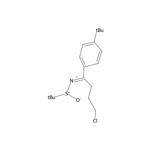 CC(C)(C)c1ccc(/C(CCCCl)=N/[S+]([O-])C(C)(C)C)cc1